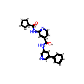 O=C(Nc1cncc(-c2ccccc2)c1)c1ccnc(NC(=O)C2CCCC2)c1